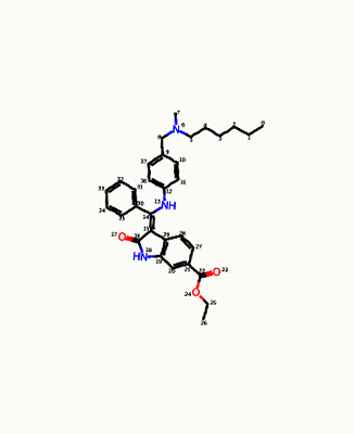 CCCCCCN(C)Cc1ccc(NC(=C2C(=O)Nc3cc(C(=O)OCC)ccc32)c2ccccc2)cc1